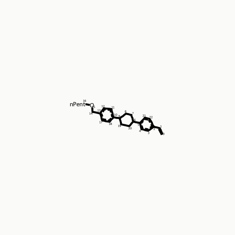 C=Cc1ccc(C2CCC(c3ccc(COCCCCC)cc3)CC2)cc1